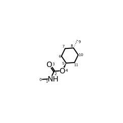 CNC(=O)O[C@H]1CC[C@H](C)CC1